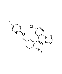 C[C@@H]1CC[C@@H](COc2ccc(F)cn2)CN1C(=O)c1cc(Cl)ccc1-n1nccn1